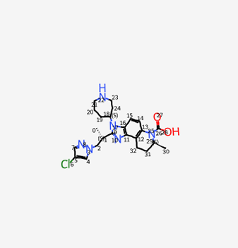 C[C@@H](Cn1cc(Cl)cn1)c1nc2c3c(ccc2n1[C@H]1CCCNCC1)N(C(=O)O)[C@@H](C)CC3